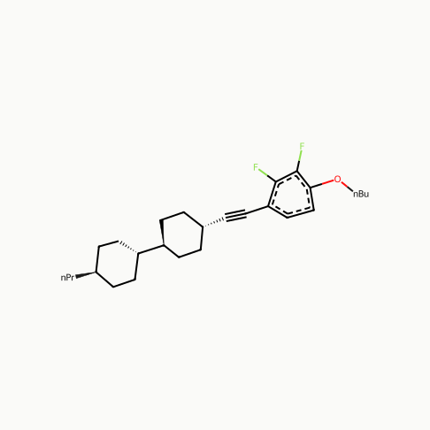 CCCCOc1ccc(C#C[C@H]2CC[C@H]([C@H]3CC[C@H](CCC)CC3)CC2)c(F)c1F